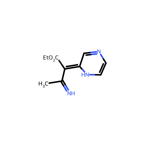 CCOC(=O)/C(C(C)=N)=C1\C=NC=CN1